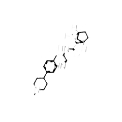 CN1CCC(c2ccc(C[C@@H](C=N)NC(=O)[C@H]3N[C@@H]4CC[C@H]3C4)cc2)CC1